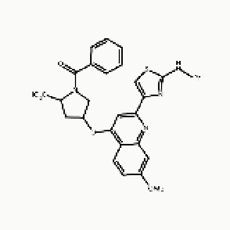 COc1ccc2c(OC3CC(C(=O)O)N(C(=O)c4ccccc4)C3)cc(-c3csc(NC(C)C)n3)nc2c1